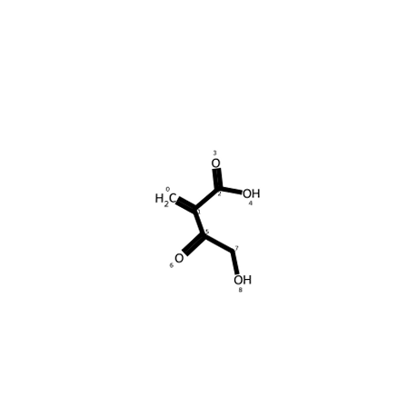 C=C(C(=O)O)C(=O)CO